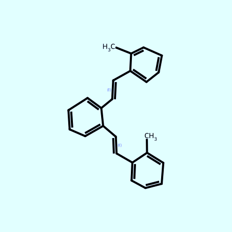 Cc1ccccc1/C=C/c1ccccc1/C=C/c1ccccc1C